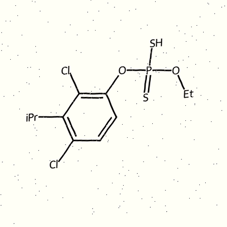 CCOP(=S)(S)Oc1ccc(Cl)c(C(C)C)c1Cl